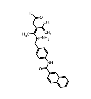 C=C(C)/C(CC(=O)O)=C(/C)N(N)Cc1ccc(NC(=O)c2ccc3ccccc3c2)cc1